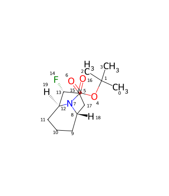 CC(C)(C)OC(=O)N1[C@H]2CCC[C@H]1[C@H](F)C(=O)C2